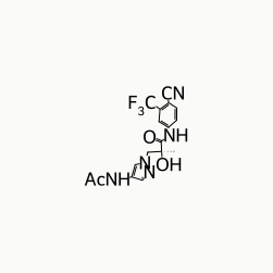 CC(=O)Nc1cnn(C[C@](C)(O)C(=O)Nc2ccc(C#N)c(C(F)(F)F)c2)c1